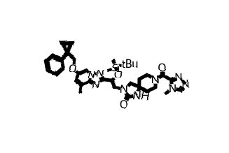 Cc1cc(OCC2(c3ccccc3)CC2)cn2nc(C(CN3CC4(CCN(C(=O)c5nncn5C)CC4)NC3=O)O[Si](C)(C)C(C)(C)C)nc12